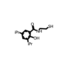 CC(C)c1cc(C(=O)NCCS)c(O)c(C(C)C)c1